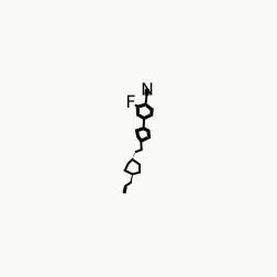 C=CC[C@H]1CC[C@H](CCc2ccc(-c3ccc(C#N)c(F)c3)cc2)CC1